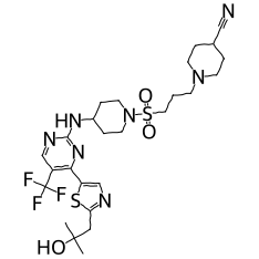 CC(C)(O)Cc1ncc(-c2nc(NC3CCN(S(=O)(=O)CCCN4CCC(C#N)CC4)CC3)ncc2C(F)(F)F)s1